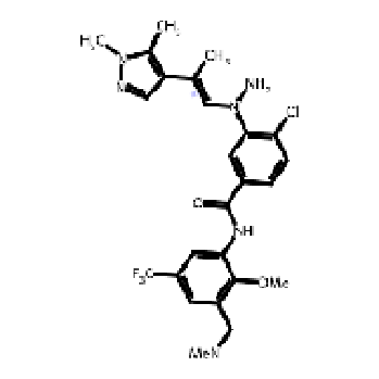 CNCc1cc(C(F)(F)F)cc(NC(=O)c2ccc(Cl)c(N(N)/C=C(\C)c3cnn(C)c3C)c2)c1OC